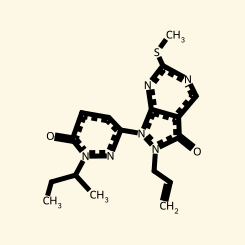 C=CCn1c(=O)c2cnc(SC)nc2n1-c1ccc(=O)n(C(C)CC)n1